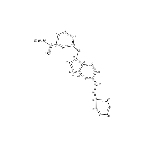 COC(=O)c1cccc(Cc2c[nH]c3cc(OCc4ccccc4)ccc23)c1